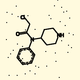 O=C(CCl)N(c1ccccc1)C1CCNCC1